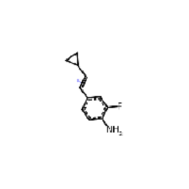 Nc1ccc(/C=C/C2CC2)cc1F